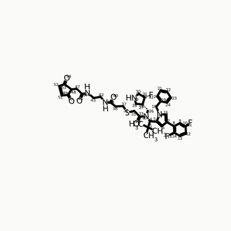 CC(C)(C)C(c1cc(-c2cc(F)ccc2F)cn1Cc1ccccc1)N(C[C@@H]1CNC[C@@H]1F)C(=O)CSCCC(=O)NCCNC(=O)CC1C(=O)C=CC1=O